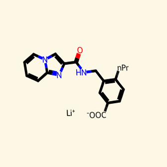 CCCc1ccc(C(=O)[O-])cc1CNC(=O)c1cn2ccccc2n1.[Li+]